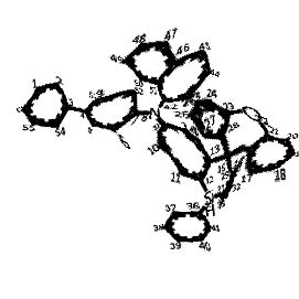 c1ccc(-c2ccc(N(c3ccc4c(c3)C3(c5ccccc5Oc5ccccc53)c3ccccc3[SiH]4c3ccccc3)c3cccc4ccccc34)cc2)cc1